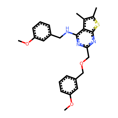 COc1cccc(CNc2nc(COCc3cccc(OC)c3)nc3sc(C)c(C)c23)c1